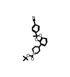 CC(C)(C)OC(=O)N1CCC(c2cccc3c2OC(C)(c2ccc(C#N)cc2)O3)CC1